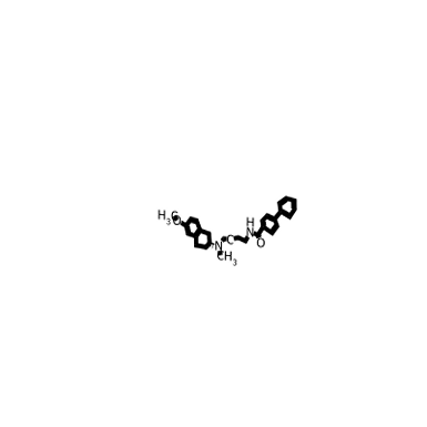 COc1ccc2c(c1)CC[C@@H](N(C)CCCCNC(=O)c1ccc(-c3ccccc3)cc1)C2